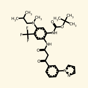 CC(C)CN(C)c1cc(NC(=O)OC(C)(C)C)c(NC(=O)CC(=O)c2cccc(-n3cccn3)c2)cc1C(F)(F)F